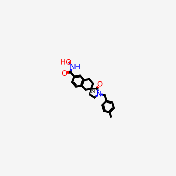 Cc1ccc(CN2CC[C@@]3(CCc4cc(C(=O)NO)ccc4C3)C2=O)cc1